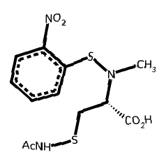 CC(=O)NSC[C@@H](C(=O)O)N(C)Sc1ccccc1[N+](=O)[O-]